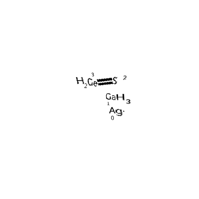 [Ag].[GaH3].[S]=[GeH2]